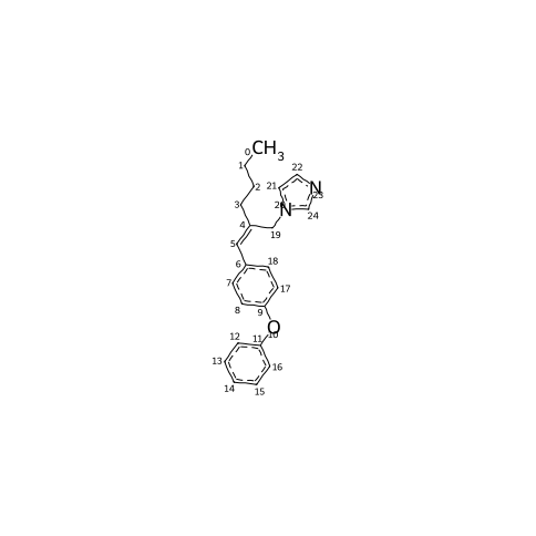 CCCCC(=Cc1ccc(Oc2ccccc2)cc1)Cn1ccnc1